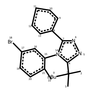 CCCCC(C)(C)c1nnc(-c2ccccc2)n1-c1cc(Br)ccc1C